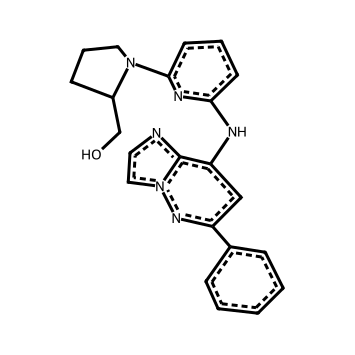 OCC1CCCN1c1cccc(Nc2cc(-c3ccccc3)nn3ccnc23)n1